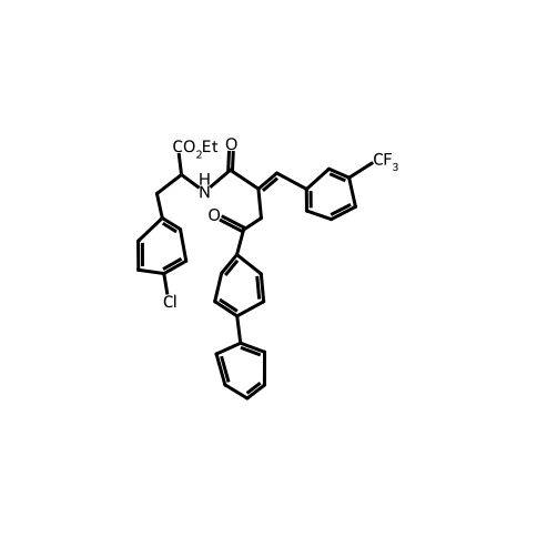 CCOC(=O)C(Cc1ccc(Cl)cc1)NC(=O)/C(=C/c1cccc(C(F)(F)F)c1)CC(=O)c1ccc(-c2ccccc2)cc1